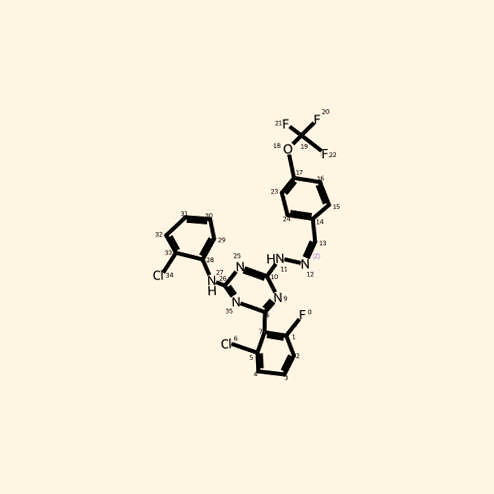 Fc1cccc(Cl)c1-c1nc(N/N=C\c2ccc(OC(F)(F)F)cc2)nc(Nc2ccccc2Cl)n1